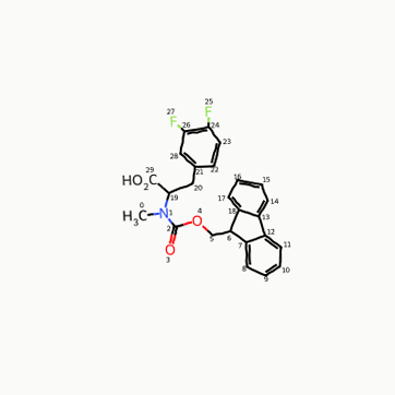 CN(C(=O)OCC1c2ccccc2-c2ccccc21)C(Cc1ccc(F)c(F)c1)C(=O)O